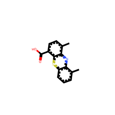 Cc1cccc2[s+]c3c(C(=O)O)ccc(C)c3nc12